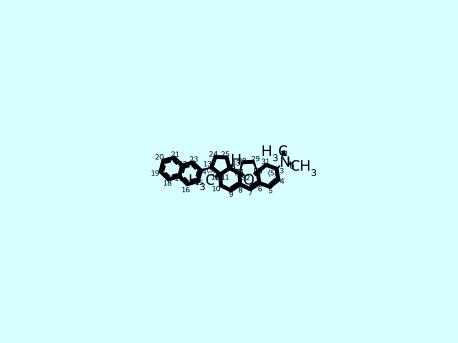 CN(C)[C@@H]1C=CC2=CC3=CC[C@]4(C)[C@@H](c5ccc6ccccc6c5)CC[C@H]4[C@@]34CC[C@]2(C1)O4